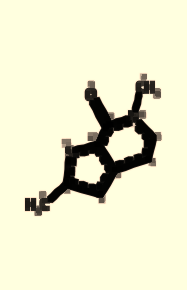 Cc1cc2ccn(C)c(=O)c2s1